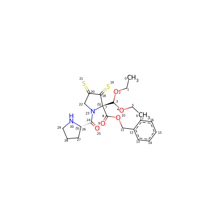 CCOC(OCC)[C@]1(C(=O)OCc2ccccc2)C(=S)C(=S)CN1C(=O)[C@@H]1CCCN1